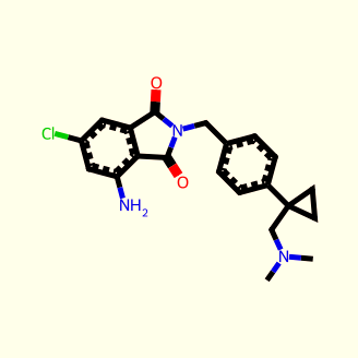 CN(C)CC1(c2ccc(CN3C(=O)c4cc(Cl)cc(N)c4C3=O)cc2)CC1